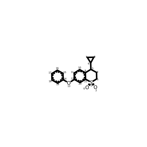 O=S1(=O)CCC(C2CC2)c2ccc(Oc3ccccc3)cc21